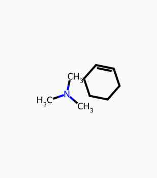 C1=CCCCC1.CN(C)C